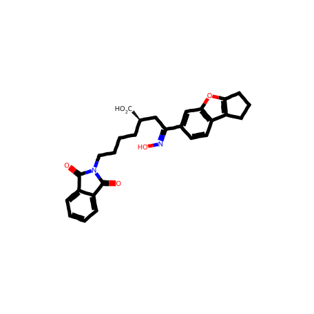 O=C(O)[C@H](CCCCN1C(=O)c2ccccc2C1=O)CC(=NO)c1ccc2c3c(oc2c1)CCC3